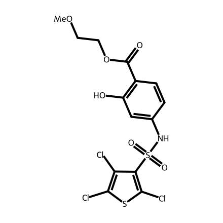 COCCOC(=O)c1ccc(NS(=O)(=O)c2c(Cl)sc(Cl)c2Cl)cc1O